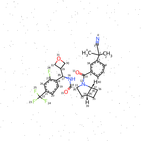 CC(C)(C#N)c1cccc(C(=O)N2[C@@H](C(=O)N[C@@H](c3ccc(C(F)(F)F)cc3F)C3COC3)C[C@H]3CC[C@H]32)c1